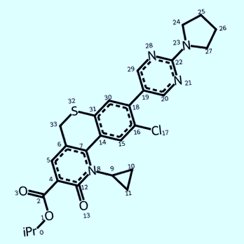 CC(C)OC(=O)c1cc2c(n(C3CC3)c1=O)-c1cc(Cl)c(-c3cnc(N4CCCC4)nc3)cc1SC2